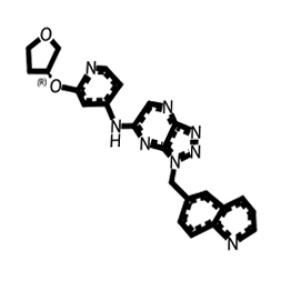 c1cnc2ccc(Cn3nnc4ncc(Nc5ccnc(O[C@@H]6CCOC6)c5)nc43)cc2c1